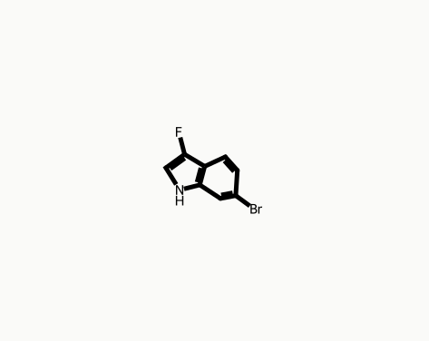 Fc1c[nH]c2cc(Br)ccc12